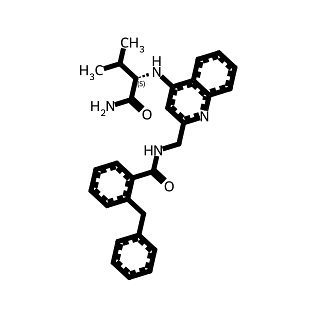 CC(C)[C@H](Nc1cc(CNC(=O)c2ccccc2Cc2ccccc2)nc2ccccc12)C(N)=O